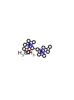 CC1(C)c2ccccc2-c2c(N3B4c5c(cccc5-c5ccccc53)-c3ccccc3N4c3cc(-c4ccccc4)cc(-c4ccc5c(c4)-c4cccc6c4B(N5c4ccccc4)N(c4ccc5c7c(cccc47)-c4ccccc4-5)c4ccccc4-6)c3)cccc21